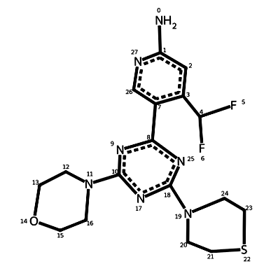 Nc1cc(C(F)F)c(-c2nc(N3CCOCC3)nc(N3CCSCC3)n2)cn1